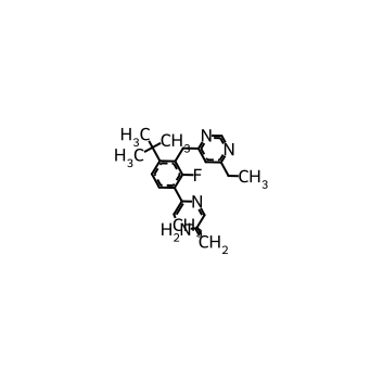 C=C(N)/C=N\C(=C/C)c1ccc(C(C)(C)C)c(Cc2cc(CC)ncn2)c1F